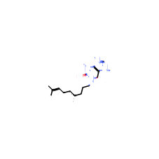 CC(C)=CCC[C@H](C)CCCn1c(=O)c2c(ncn2C)n(C)c1=O